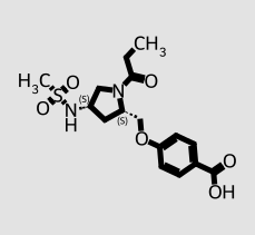 CCC(=O)N1C[C@@H](NS(C)(=O)=O)C[C@H]1COc1ccc(C(=O)O)cc1